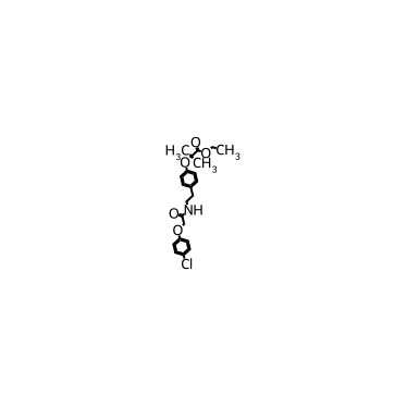 CCOC(=O)C(C)(C)Oc1ccc(CCNC(=O)COc2ccc(Cl)cc2)cc1